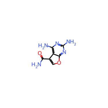 NC(=O)c1coc2nc(N)nc(N)c12